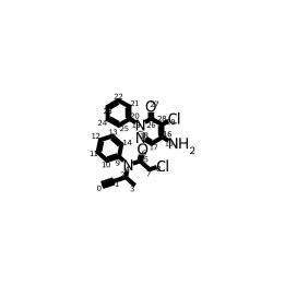 C#CC(C)N(C(=O)CCl)c1ccccc1.Nc1cnn(-c2ccccc2)c(=O)c1Cl